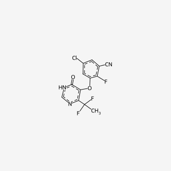 CC(F)(F)c1nc[nH]c(=O)c1Oc1cc(Cl)cc(C#N)c1F